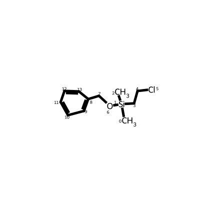 C[Si](C)(CCCl)OCc1ccccc1